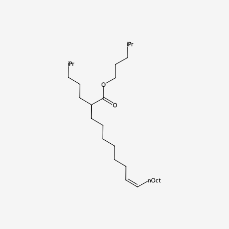 CCCCCCCC/C=C\CCCCCCC(CCCC(C)C)C(=O)OCCCC(C)C